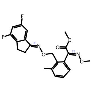 CO/N=C(/C(=O)OC)c1cccc(C)c1CO/N=C1\CCc2c(F)cc(F)cc21